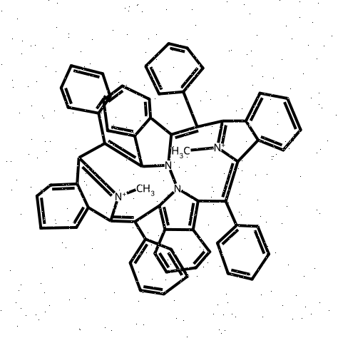 C[n+]1c2c(-c3ccccc3)c3c4ccccc4c4c(-c5ccccc5)c5c6ccccc6c(c(-c6ccccc6)c6c7ccccc7c(c(-c7ccccc7)c1c1ccccc12)n6n34)[n+]5C